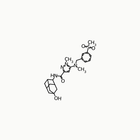 CN(Cc1cccc(S(C)(=O)=O)c1)c1cc(C(=O)NC2C3CC4CC2CC(O)(C4)C3)nn1C